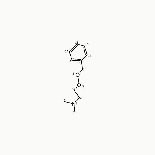 CN(C)CCOOCc1ccccc1